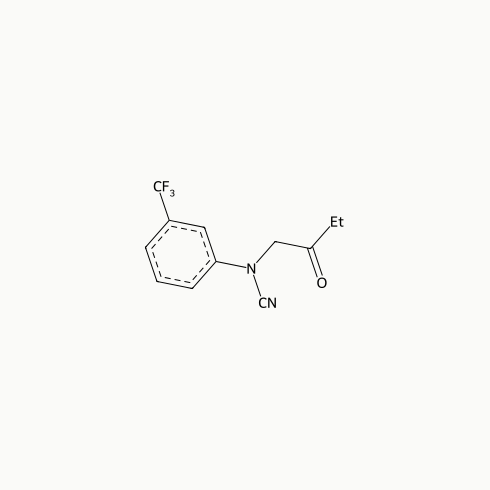 CCC(=O)CN(C#N)c1cccc(C(F)(F)F)c1